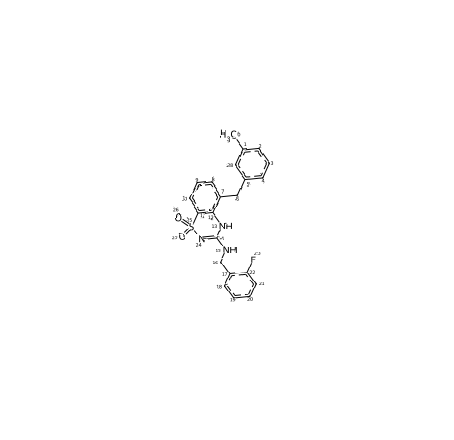 Cc1cccc(Cc2cccc3c2NC(NCc2ccccc2F)=NS3(=O)=O)c1